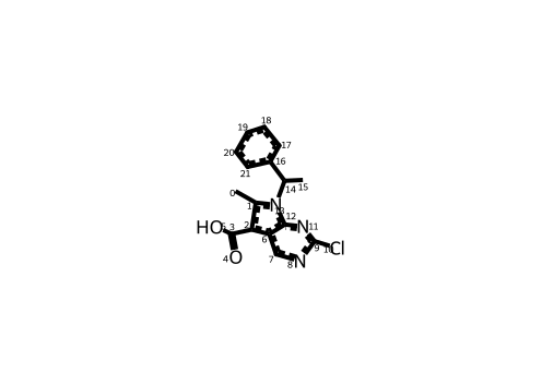 Cc1c(C(=O)O)c2cnc(Cl)nc2n1C(C)c1ccccc1